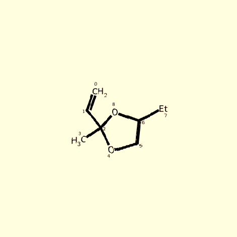 C=CC1(C)OCC(CC)O1